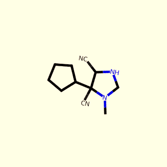 CN1CNC(C#N)C1(C#N)C1CCCC1